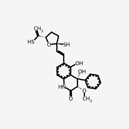 C=C(S)[C@@H]1CC[C@](S)(/C=C/c2ccc3c(c2O)[C@@](O)(c2ccccc2)[C@H](OC)C(=O)N3)O1